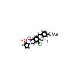 COc1ccc(Cc2cc3c(c(Cl)c2C)CN([C@H]2CCC[C@@H]2O)C3=O)cc1